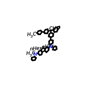 CCCCCCC1(CCCCCC)c2cc(N(C)c3ccccc3)ccc2-c2ccc(N(c3ccccc3)c3ccc(-c4ccc(C(C)(c5ccc(-c6ccc(C)cc6)cc5)c5ccc6c(c5)CC6)cc4)cc3)cc21